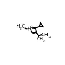 CCn1cc(C(C)C)c(C2CC2)n1